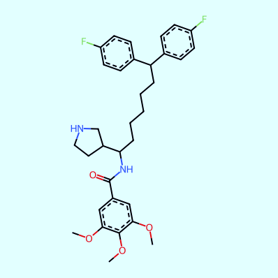 COc1cc(C(=O)NC(CCCCCC(c2ccc(F)cc2)c2ccc(F)cc2)C2CCNC2)cc(OC)c1OC